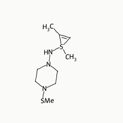 CSN1CCN(NS2(C)C=C2C)CC1